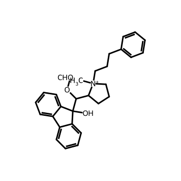 C[N+]1(CCCc2ccccc2)CCCC1C(OC=O)C1(O)c2ccccc2-c2ccccc21